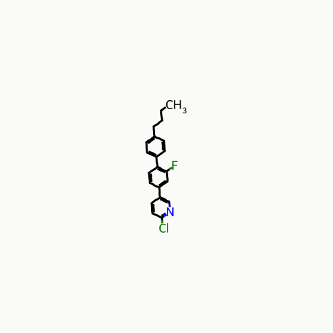 CCCCc1ccc(-c2ccc(-c3ccc(Cl)nc3)cc2F)cc1